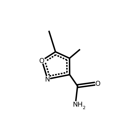 Cc1onc(C(N)=O)c1C